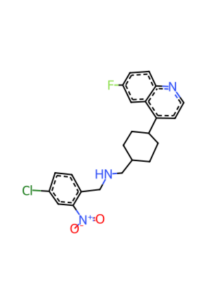 O=[N+]([O-])c1cc(Cl)ccc1CNCC1CCC(c2ccnc3ccc(F)cc23)CC1